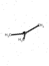 CCCCCCCCCCCCCCCCN1C=CN(CCCCCCCCCCCCCC)C1CCCCCC